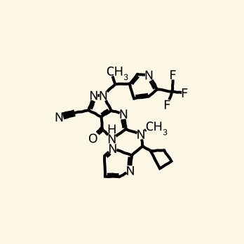 CC(c1ccc(C(F)(F)F)nc1)n1nc(C#N)c2c(=O)[nH]c(N(C)C(c3ncccn3)C3CCC3)nc21